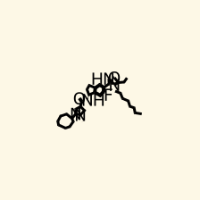 CCCCCCCCN1C(CC)ONC1c1cc2c(cc1F)[C@H](NC(=O)C1CN(C)N(C3CCCCCCC3)C1)CC2